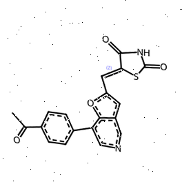 CC(=O)c1ccc(-c2cncc3cc(/C=C4\SC(=O)NC4=O)oc23)cc1